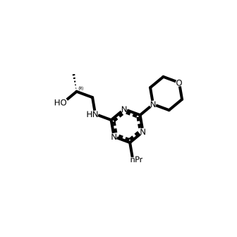 CCCc1nc(NC[C@@H](C)O)nc(N2CCOCC2)n1